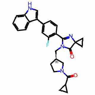 O=C(C1CC1)N1CC[C@@H](CN2C(=O)C3(CC3)N=C2c2ccc(-c3c[nH]c4ccccc34)cc2F)C1